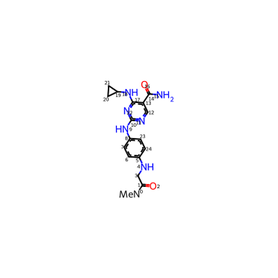 CNC(=O)CNc1ccc(Nc2ncc(C(N)=O)c(NC3CC3)n2)cc1